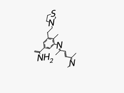 C=C(N)c1cc(CCN2CCSC2)c(C)c(/N=C(C)/C=C/C(C)=N\C)c1